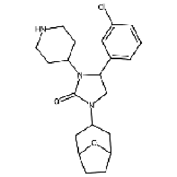 O=C1N(C2CC3CCC(C2)O3)CC(c2cccc(Cl)c2)N1C1CCNCC1